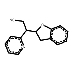 N#CCC(c1ccccn1)C1Cc2ccccc2O1